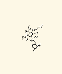 CCOC(=O)c1c(OCCC(C)C)c(=O)c(C(=O)NCc2ccc(F)cc2F)cn1CC(OC)OC